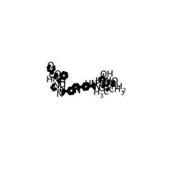 CC(C)[C@@H](C(=O)N1C[C@H](O)C[C@H]1c1ncc(-c2ccc(-c3ccc4cc(-c5cnc([C@@H]6CCCN6C(=O)[C@H](NC(=O)OC6CCOCC6)c6ccccc6)[nH]5)ccc4n3)cc2)[nH]1)N(N)C(=O)P